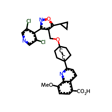 COc1ccc(C(=O)O)c2ccc(C34CCC(OCc5c(-c6c(Cl)cncc6Cl)noc5C5CC5)(CC3)CC4)nc12